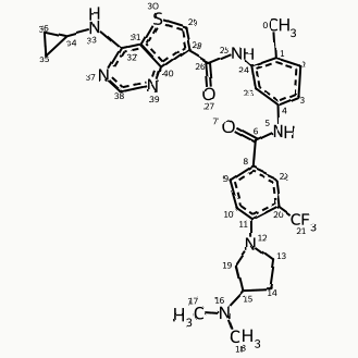 Cc1ccc(NC(=O)c2ccc(N3CCC(N(C)C)C3)c(C(F)(F)F)c2)cc1NC(=O)c1csc2c(NC3CC3)ncnc12